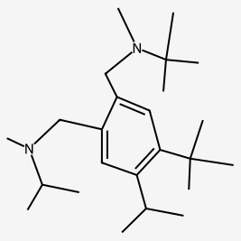 CC(C)c1cc(CN(C)C(C)C)c(CN(C)C(C)(C)C)cc1C(C)(C)C